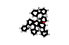 c1cc(-n2c3ccccc3c3ccccc32)c(-c2ccc3c(c2)c2ccccc2n3-c2cccc3sc4ccccc4c23)c(-n2c3ccccc3c3ccccc32)c1